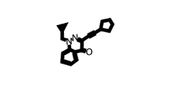 O=c1c(C#CC2CCCC2)nn(CC2CC2)c2ccccc12